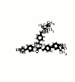 Cn1c(=O)[nH]c2ccc(-c3ccc(C[C@H](NC(=O)C4CCC(CNC(=O)OC(C)(C)C)CC4)C(=O)Nc4ccc(-c5nn[nH]n5)cc4)cc3)cc21